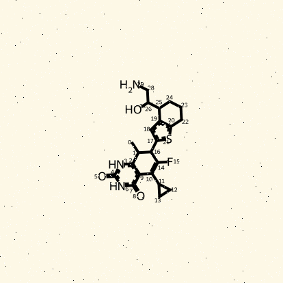 CC1c2[nH]c(=O)[nH]c(=O)c2C(C2CC2)=C(F)C1c1cc2c(s1)CCCC2C(O)CN